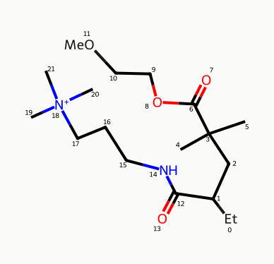 CCC(CC(C)(C)C(=O)OCCOC)C(=O)NCCC[N+](C)(C)C